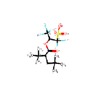 CC(C)(C)CC(C(=O)OC(C(F)(F)F)C(F)(F)S(=O)(=O)O)C(C)(C)C